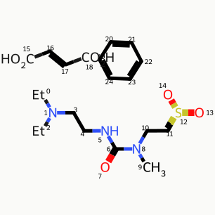 CCN(CC)CCNC(=O)N(C)CC=S(=O)=O.O=C(O)C=CC(=O)O.c1ccccc1